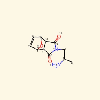 CC(N)CN1C(=O)C2C3C=CC(O3)C2C1=O